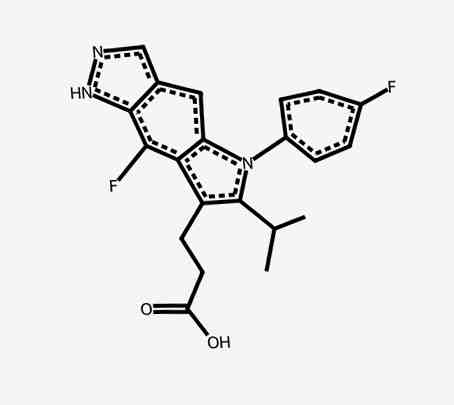 CC(C)c1c(CCC(=O)O)c2c(F)c3[nH]ncc3cc2n1-c1ccc(F)cc1